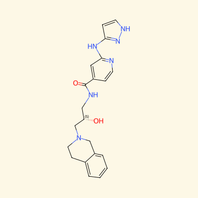 O=C(NC[C@H](O)CN1CCc2ccccc2C1)c1ccnc(Nc2cc[nH]n2)c1